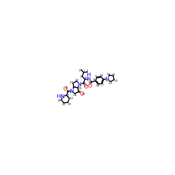 CC(C)CC(NC(=O)c1ccc(N2CCCC2)cc1)C(=O)N1CCC2C1C(=O)CN2C(=O)C1CCCCN1